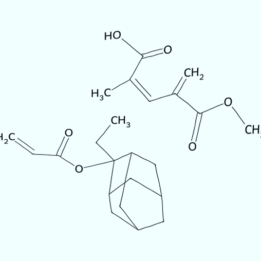 C=C(C=C(C)C(=O)O)C(=O)OC.C=CC(=O)OC1(CC)C2CC3CC(C2)CC1C3